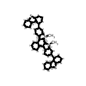 Cn1c2cc(-c3cccc4sc5ccccc5c34)ccc2c2c3ccccc3c3c4ccc(-c5cccc6sc7ccccc7c56)cc4n(C)c3c21